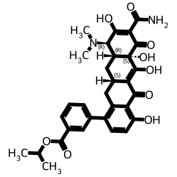 CC(C)OC(=O)c1cccc(-c2ccc(O)c3c2C[C@@H]2C[C@@H]4[C@@H](N(C)C)C(O)=C(C(N)=O)C(=O)[C@@]4(O)C(O)=C2C3=O)c1